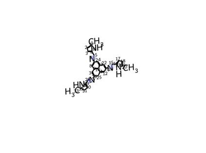 Cc1ccc(/C=N/c2cc3c4c(cc(/N=C/c5ccc(C)[nH]5)cc4c2)CC(/N=C/C2=CCC(C)N2)=C3)[nH]1